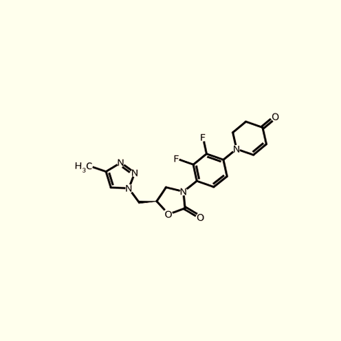 Cc1cn(C[C@H]2CN(c3ccc(N4C=CC(=O)CC4)c(F)c3F)C(=O)O2)nn1